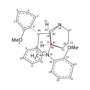 COc1ccccc1[C@@H](c1ccccc1)[C@@H]1[C@H](N(C)c2ccccc2OC)C2CCN1CC2